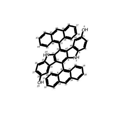 Oc1ccc2[nH]c3c(-c4c5ccccc5cc5ccccc45)c4c([nH]c5ccc(O)cc54)c(-c4c5ccccc5cc5ccccc45)c3c2c1